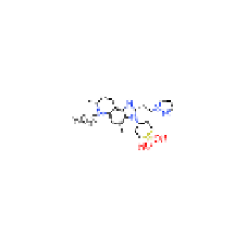 Cc1cc2c(c3nc(CCn4cccn4)n(C4CCS(O)(O)CC4)c13)CCC(C)N2C(=O)O